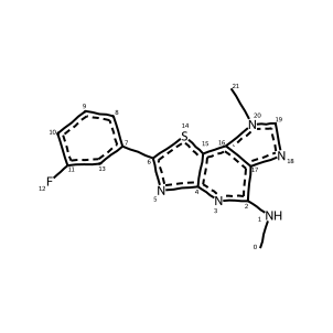 CNc1nc2nc(-c3cccc(F)c3)sc2c2c1ncn2C